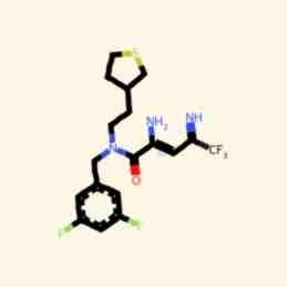 N=C(/C=C(\N)C(=O)N(CCC1CCSC1)Cc1cc(F)cc(F)c1)C(F)(F)F